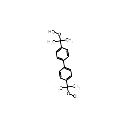 CC(C)(OO)c1ccc(-c2ccc(C(C)(C)OO)cc2)cc1